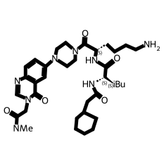 CC[C@H](C)[C@H](NC(=O)CC1CCCCC1)C(=O)N[C@@H](CCCCN)C(=O)N1CCN(c2ccc3ncn(CC(=O)NC)c(=O)c3c2)CC1